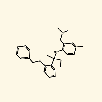 CCC(C)(Pc1ccc(C)cc1CN(C)C)c1ccccc1OCc1ccccc1